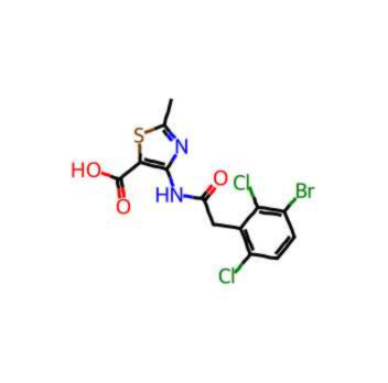 Cc1nc(NC(=O)Cc2c(Cl)ccc(Br)c2Cl)c(C(=O)O)s1